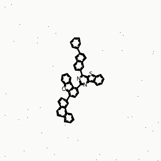 c1ccc(-c2ccc3cc(-c4nc(-c5ccc(-c6ccc7ccc8ccccc8c7c6)c6oc7ccccc7c56)nc5c4sc4ccccc45)ccc3c2)cc1